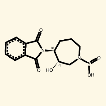 O=C1c2ccccc2C(=O)N1[C@H]1CCCN(S(=O)O)C[C@@H]1O